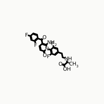 C[C@H](NCCc1cc(F)c(-n2c(N)c(C(=O)c3ccc(F)cc3F)ccc2=O)c(F)c1)C(=O)O